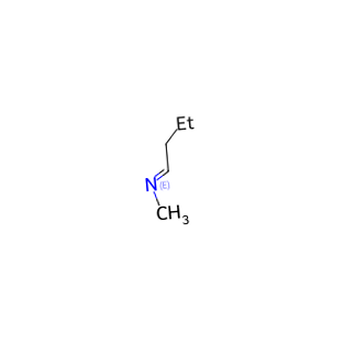 CCC/C=N/C